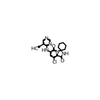 C#Cc1cncnc1Nc1cc(Cl)c2n(c1=O)C1(CCCCC1)NC2=O